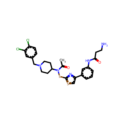 CC(=O)N(Sc1nc(-c2cccc(NC(=O)CCN)c2)cs1)C1CCN(Cc2ccc(Cl)c(Cl)c2)CC1